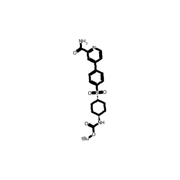 CC(C)(C)OC(=O)N[C@H]1CC[C@H](S(=O)(=O)c2ccc(-c3ccnc(C(N)=O)c3)cc2)CC1